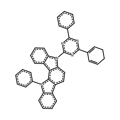 C1=CC(c2nc(-c3ccccc3)nc(-n3c4ccccc4c4c3ccc3c5ccccc5n(-c5ccccc5)c34)n2)=CCC1